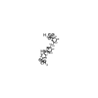 CS(=O)(=O)c1ccc(Nc2nccc(CCc3cccc(S(C)(=O)=O)c3)n2)cc1